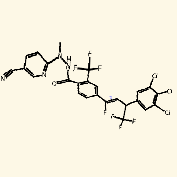 CN(NC(=O)c1ccc(/C(F)=C/C(c2cc(Cl)c(Cl)c(Cl)c2)C(F)(F)F)cc1C(F)(F)F)c1ccc(C#N)cn1